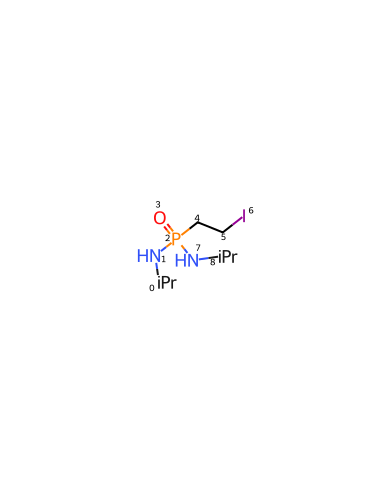 CC(C)NP(=O)(CCI)NC(C)C